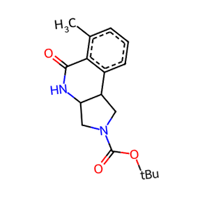 Cc1cccc2c1C(=O)NC1CN(C(=O)OC(C)(C)C)CC21